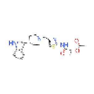 CC(=O)OC(C)(C)C(=O)Nc1nc(CN2CCC(c3c[nH]c4ccccc34)CC2)cs1